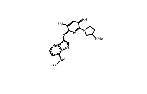 CCNc1ccnc2c(/N=C3\N=C(N4CCC(NC)C4)C(=N)C=C3N)cnn12